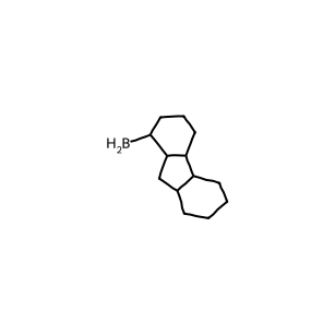 BC1CCCC2C1CC1CCCCC12